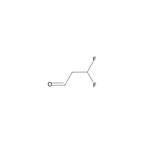 O=CCC(F)F